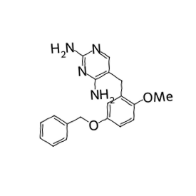 COc1ccc(OCc2ccccc2)cc1Cc1cnc(N)nc1N